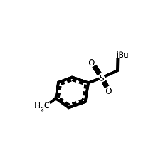 CCC(C)CS(=O)(=O)c1ccc(C)cc1